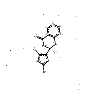 C[C@@]1(c2sc(Br)cc2Cl)Cc2ncncc2C(=N)N1